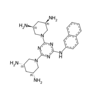 N[C@@H]1C[C@H](N)CN(c2nc(Nc3ccc4ccccc4c3)nc(N3C[C@H](N)C[C@H](N)C3)n2)C1